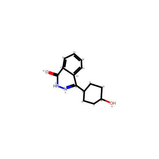 O=c1[nH]nc(C2CCC(O)CC2)c2ccccc12